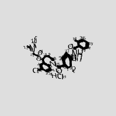 COc1cc(C(=O)N2CCCC(OC(=O)CN(C)C)c3cc(Cl)ccc32)ccc1NC(=O)c1ccccc1C.Cl